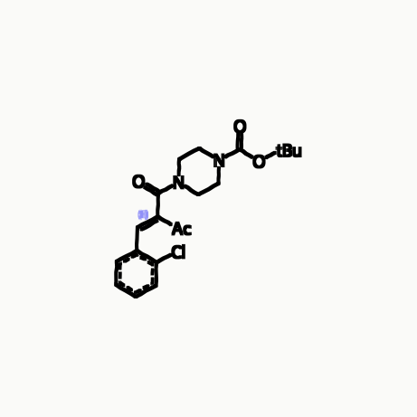 CC(=O)/C(=C\c1ccccc1Cl)C(=O)N1CCN(C(=O)OC(C)(C)C)CC1